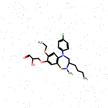 CCCCC1CN(c2ccc(F)cc2)c2cc(SCC)c(OCC(O)C=O)cc2SN1C